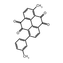 Cc1cccc(-c2ccc3c4c2c(=O)c(=O)c2ccc(C)c(c2-4)c(=O)c3=O)c1